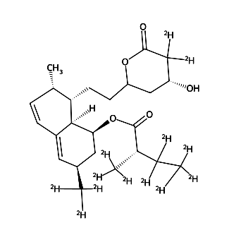 [2H]C([2H])([2H])[C@H]1C=C2C=C[C@H](C)[C@H](CCC3C[C@@H](O)C([2H])([2H])C(=O)O3)[C@H]2[C@@H](OC(=O)[C@@H](C([2H])([2H])[2H])C([2H])([2H])C([2H])([2H])[2H])C1